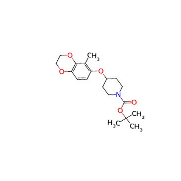 Cc1c(OC2CCN(C(=O)OC(C)(C)C)CC2)ccc2c1OCCO2